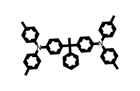 Cc1ccc(N(c2ccc(C)cc2)c2ccc(C(C)(c3ccccc3)c3ccc(N(c4ccc(C)cc4)c4ccc(C)cc4)cc3)cc2)cc1